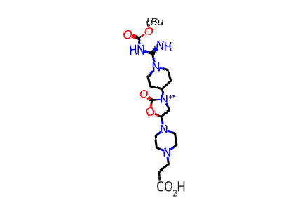 CC(C)(C)OC(=O)NC(=N)N1CCC([N+]2(C)CC(N3CCN(CCC(=O)O)CC3)OC2=O)CC1